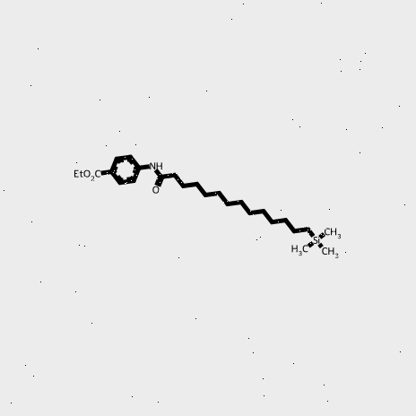 CCOC(=O)c1ccc(NC(=O)CCCCCCCCCCCCC[Si](C)(C)C)cc1